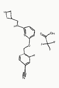 N#Cc1ccc(COc2cccc(NCC3CNC3)n2)c(F)c1.O=C(O)C(F)(F)F